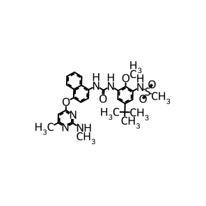 CNc1nc(C)cc(Oc2ccc(NC(=O)Nc3cc(C(C)(C)C)cc(NS(C)(=O)=O)c3OC)c3ccccc23)n1